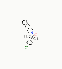 CC(C)(C(=O)N1CCC2(CC1)Cc1ccccc1C2)c1ccc(Cl)cc1